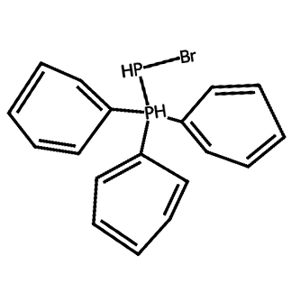 BrP[PH](c1ccccc1)(c1ccccc1)c1ccccc1